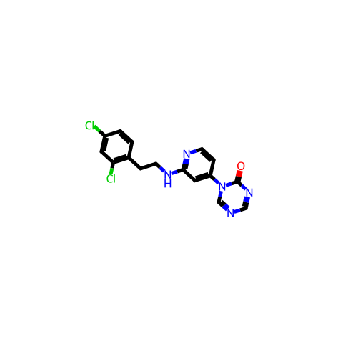 O=c1ncncn1-c1ccnc(NCCc2ccc(Cl)cc2Cl)c1